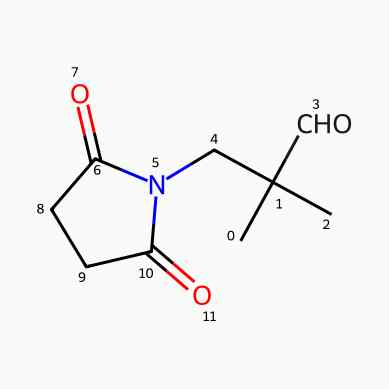 CC(C)(C=O)CN1C(=O)CCC1=O